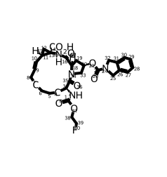 O=C(N[C@H]1CCCCC/C=C/[C@@H]2C[C@@]2(C(=O)O)NC(=O)[C@@H]2C[C@@H](OC(=O)N3Cc4ccccc4C3)CN2C1=O)OCCF